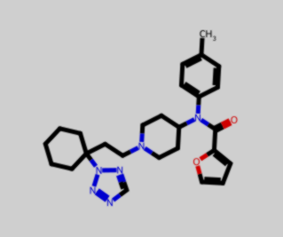 Cc1ccc(N(C(=O)c2ccco2)C2CCN(CCC3(n4ncnn4)CCCCC3)CC2)cc1